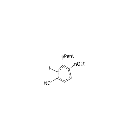 CCCCCCCCc1ccc(C#N)c(I)c1CCCCC